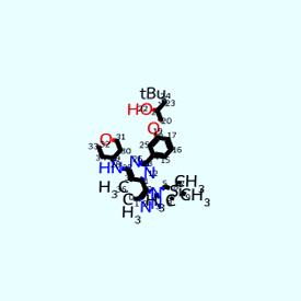 Cc1nnn(C[Si](C)(C)C)c1-c1nc(-c2cccc(OCC(O)[CH]C(C)(C)C)c2)nc(NC2CCOCC2)c1C